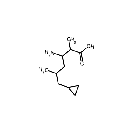 CC(CC1CC1)CC(N)C(C)C(=O)O